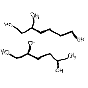 CC(O)CCC(O)CO.OCCCCC(O)CO